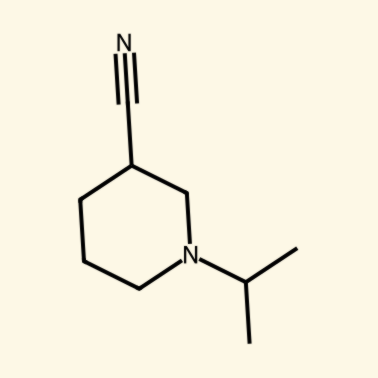 CC(C)N1CCCC(C#N)C1